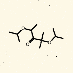 CC(C)OC(C)C(=O)C(C)(C)OC(C)C